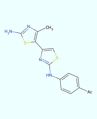 CC(=O)c1ccc(Nc2nc(-c3sc(N)nc3C)cs2)cc1